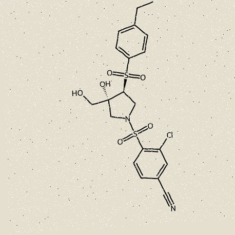 CCc1ccc(S(=O)(=O)[C@H]2CN(S(=O)(=O)c3ccc(C#N)cc3Cl)C[C@@]2(O)CO)cc1